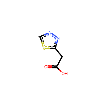 O=C(O)Cc1nn[c]s1